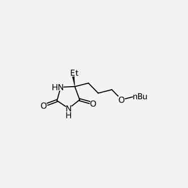 CCCCOCCC[C@@]1(CC)NC(=O)NC1=O